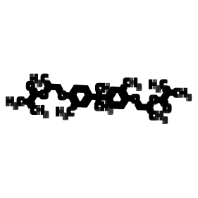 C=C(C)C(=O)OC(C)COc1ccc(C(C)(C)c2ccc(OCC(C)OC(=O)C(=C)C)c(C)c2)cc1C